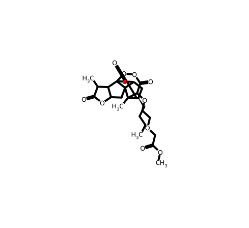 CCCC[C@@H]1CC2OC(=O)C34OOC(=O)C(OCCOCC(=O)OC)C1(C)C23CC1OC(=O)C(C)C14